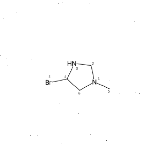 CN1CNC(Br)C1